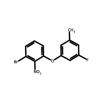 Cc1cc(F)cc(Oc2cccc(Br)c2[N+](=O)[O-])c1